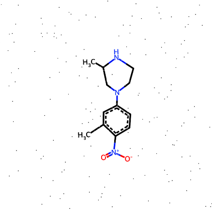 Cc1cc(N2CCNC(C)C2)ccc1[N+](=O)[O-]